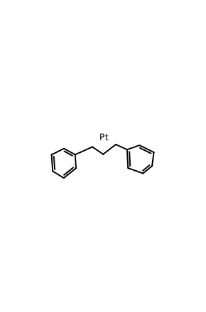 [Pt].c1ccc(CCCc2ccccc2)cc1